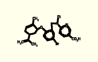 C=C(C)C1CC=C(C)C(Oc2ccc(Br)cc2CN(CC)c2ccc(C(=O)O)cn2)C1